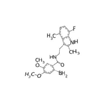 Bc1cc(OC)c(OC)cc1C(=O)NCCc1c(C)[nH]c2c(F)ccc(C)c12